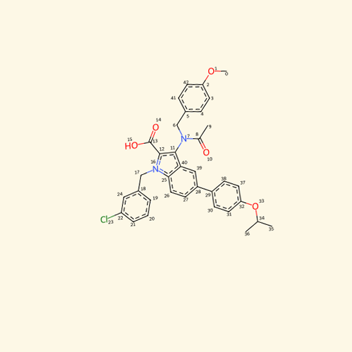 COc1ccc(CN(C(C)=O)c2c(C(=O)O)n(Cc3cccc(Cl)c3)c3ccc(-c4ccc(OC(C)C)cc4)cc23)cc1